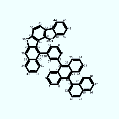 c1cc(-c2c3ccccc3c(-c3cccc4ccccc34)c3ccccc23)cc(-c2c3ccccc3cc3sc4ccc5c6ccccc6sc5c4c23)c1